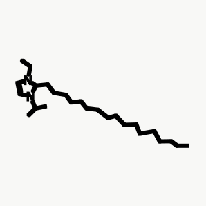 CCCCCCCCCCCCCCCCCC1N(CC)C=CN1C(C)C